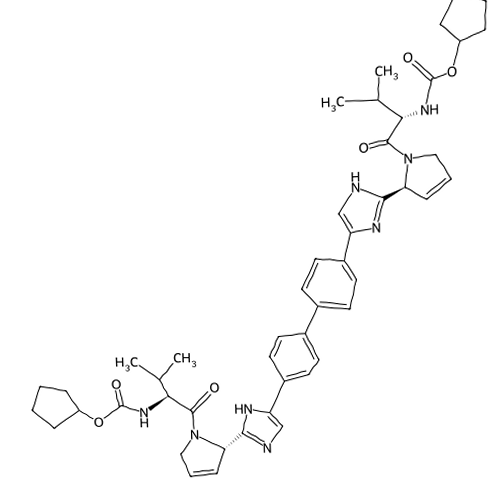 CC(C)[C@H](NC(=O)OC1CCCC1)C(=O)N1CC=C[C@H]1c1nc(-c2ccc(-c3ccc(-c4cnc([C@@H]5C=CCN5C(=O)[C@@H](NC(=O)OC5CCCC5)C(C)C)[nH]4)cc3)cc2)c[nH]1